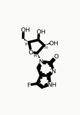 O=c1nc2[nH]cc(F)c2cn1[C@@H]1O[C@H](CO)C(O)[C@@H]1O